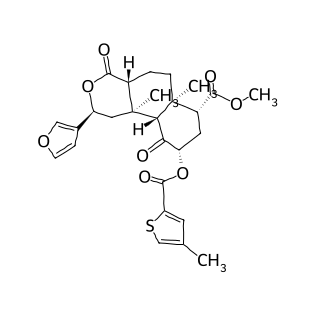 COC(=O)[C@@H]1C[C@H](OC(=O)c2cc(C)cs2)C(=O)[C@H]2[C@@]1(C)CC[C@H]1C(=O)O[C@H](c3ccoc3)C[C@]21C